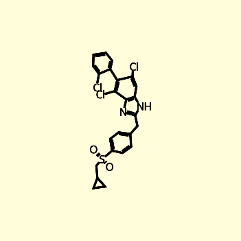 O=S(=O)(CC1CC1)c1ccc(Cc2nc3c(Cl)c(-c4ccccc4Cl)c(Cl)cc3[nH]2)cc1